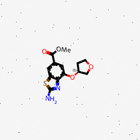 COC(=O)c1cc(O[C@H]2CCOC2)c2nc(N)sc2c1